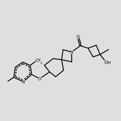 Cc1ccc(C(F)(F)F)c(OC2CCC3(CC2)CN(C(=O)C2CC(C)(O)C2)C3)n1